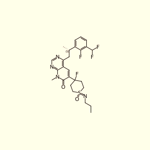 CCCN=S1(=O)CCC(F)(c2cc3c(C[C@H](C)c4cccc(C(F)F)c4F)ncnc3n(C)c2=O)CC1